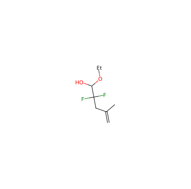 C=C(C)CC(F)(F)C(O)OCC